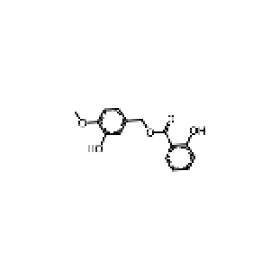 COc1ccc(COC(=O)c2ccccc2O)cc1O